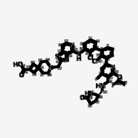 Cc1cc(-c2cccc(-c3cccc(Nc4nccc5sc(CN6CCC7(CC6)CC(C(=O)O)C7)nc45)c3Cl)c2Cl)nc(OC(F)F)c1CNC[C@@H]1CCC(=O)N1